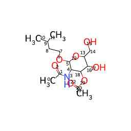 CC(=O)NC1C(OCCC(C)C)OC(CO)C(O)C1OC(C)=O